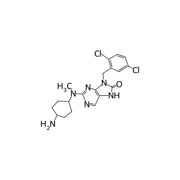 CN(c1ncc2[nH]c(=O)n(Cc3cc(Cl)ccc3Cl)c2n1)C1CCC(N)CC1